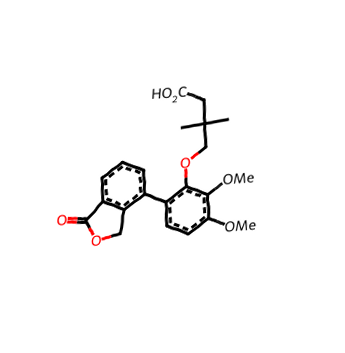 COc1ccc(-c2cccc3c2COC3=O)c(OCC(C)(C)CC(=O)O)c1OC